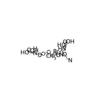 Cc1c(-c2ccc(OCCNC[C@@H](O)CC(=O)O)cc2)cccc1-c1cccc2c1CC[C@@H]2Oc1nc(OCCCC#N)c(CNC[C@@H](O)CC(=O)O)cc1Br